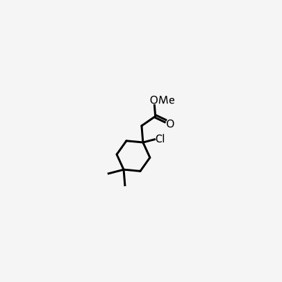 COC(=O)CC1(Cl)CCC(C)(C)CC1